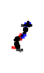 CCc1nc2c(C)nc(C)cc2n1-c1ccc(CCNC(=O)NS(=O)(=O)c2ccc(C)c(-c3ccc4c(O)c(C(=O)O)ccc4c3)c2)cc1